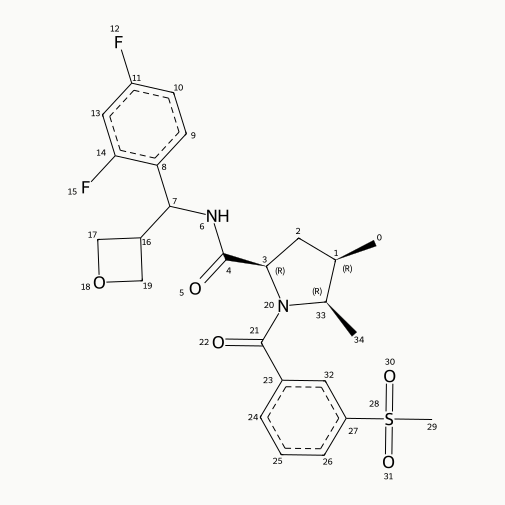 C[C@@H]1C[C@H](C(=O)NC(c2ccc(F)cc2F)C2COC2)N(C(=O)c2cccc(S(C)(=O)=O)c2)[C@@H]1C